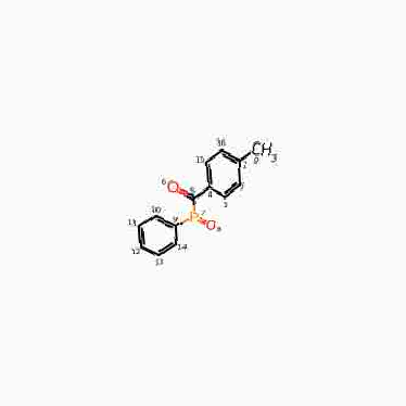 Cc1ccc(C(=O)[P](=O)c2ccccc2)cc1